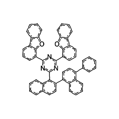 c1ccc(-c2ccc(-c3ccc4ccccc4c3-c3nc(-c4cccc5c4oc4ccccc45)nc(-c4cccc5c4oc4ccccc45)n3)c3ccccc23)cc1